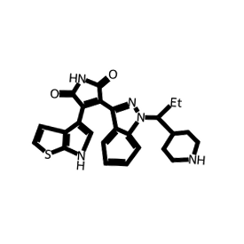 CCC(C1CCNCC1)n1nc(C2=C(c3c[nH]c4sccc34)C(=O)NC2=O)c2ccccc21